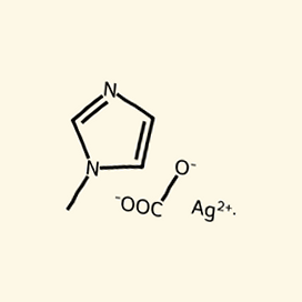 Cn1ccnc1.O=C([O-])[O-].[Ag+2]